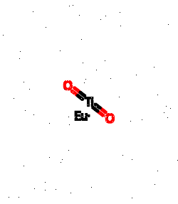 [Eu].[O]=[Ti]=[O]